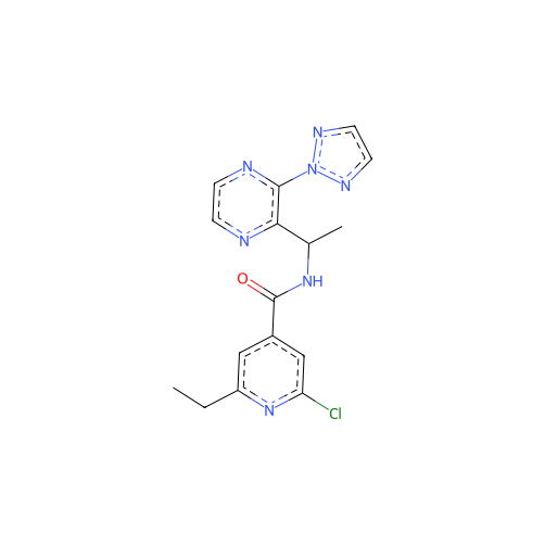 CCc1cc(C(=O)NC(C)c2nccnc2-n2nccn2)cc(Cl)n1